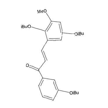 COc1cc(OCC(C)C)cc(/C=C/C(=O)c2cccc(OCC(C)C)c2)c1OCC(C)C